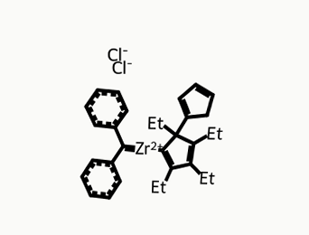 CCC1=C(CC)C(CC)(C2=CC=CC2)[C]([Zr+2]=[C](c2ccccc2)c2ccccc2)=C1CC.[Cl-].[Cl-]